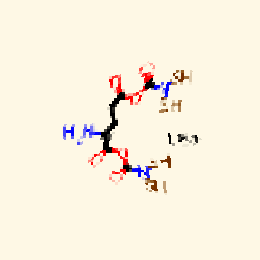 N[C@@H](CCC(=O)OC(=O)N(S)S)C(=O)OC(=O)N(S)S.[La].[La]